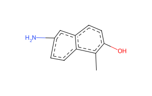 Cc1c(O)ccc2cc(N)ccc12